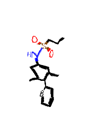 CCCS(=O)(=O)Nc1cc(C)c(-c2bcccc2)c(C)c1